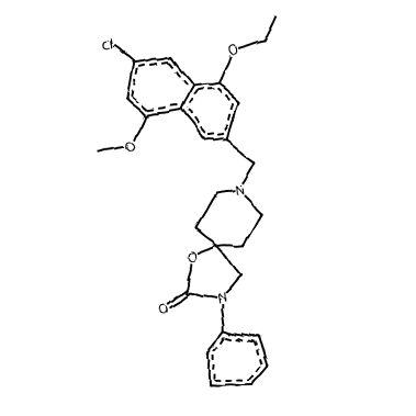 CCOc1cc(CN2CCC3(CC2)CN(c2ccccc2)C(=O)O3)cc2c(OC)cc(Cl)cc12